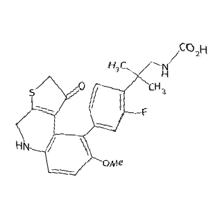 COc1ccc2c(c1-c1ccc(C(C)(C)CNC(=O)O)c(F)c1)C1=C(CN2)SCC1=O